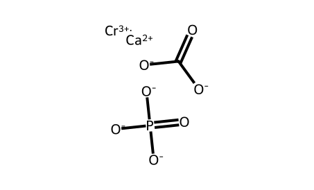 O=C([O-])[O-].O=P([O-])([O-])[O-].[Ca+2].[Cr+3]